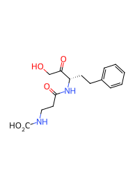 O=C(O)NCCC(=O)N[C@@H](CCc1ccccc1)C(=O)CO